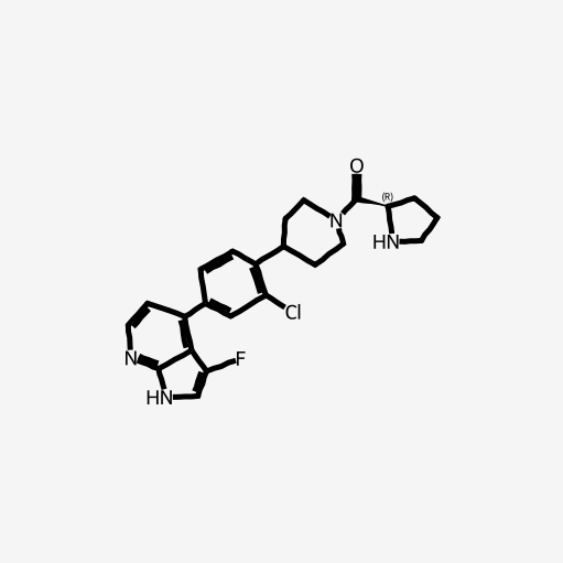 O=C([C@H]1CCCN1)N1CCC(c2ccc(-c3ccnc4[nH]cc(F)c34)cc2Cl)CC1